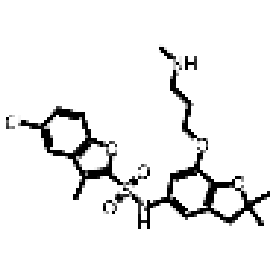 CNCCCOc1cc(NS(=O)(=O)c2oc3ccc(Cl)cc3c2C)cc2c1OC(C)(C)C2